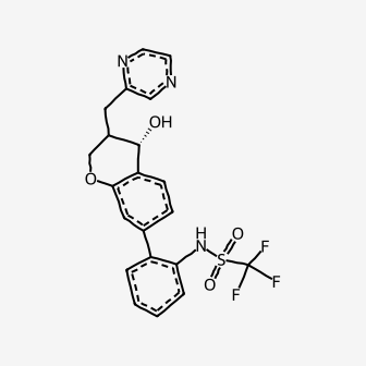 O=S(=O)(Nc1ccccc1-c1ccc2c(c1)OCC(Cc1cnccn1)[C@@H]2O)C(F)(F)F